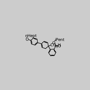 CCCCCCCOc1ccc(C2=CCC(C(=O)O)(c3ccccc3C(=O)OC(C)CCC)C=C2)cc1